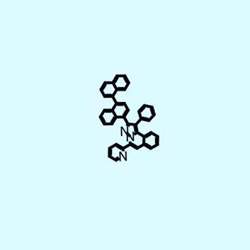 c1ccc(-c2c(-c3ccc(-c4cccc5ccccc45)c4ccccc34)nn3c(-c4ccccn4)cc4ccccc4c23)cc1